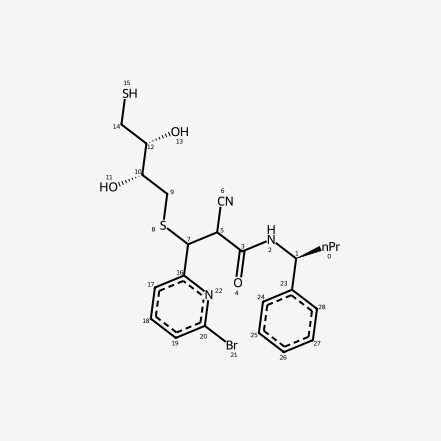 CCC[C@H](NC(=O)C(C#N)C(SC[C@H](O)[C@@H](O)CS)c1cccc(Br)n1)c1ccccc1